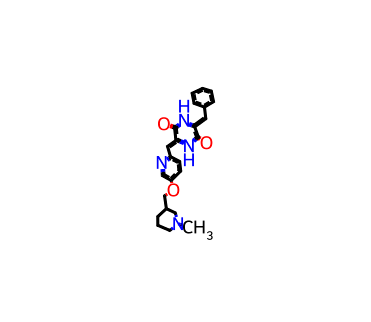 CN1CCCC(COc2ccc(C=c3[nH]c(=O)c(=Cc4ccccc4)[nH]c3=O)nc2)C1